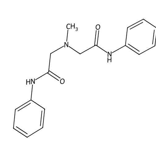 CN(CC(=O)Nc1ccccc1)CC(=O)Nc1ccccc1